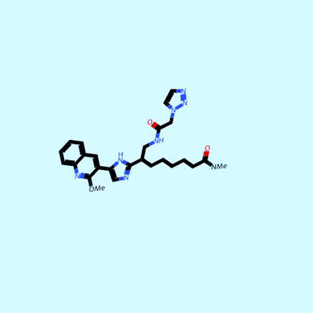 CNC(=O)CCCCCC(CNC(=O)Cn1ccnn1)c1ncc(-c2cc3ccccc3nc2OC)[nH]1